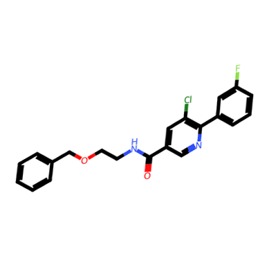 O=C(NCCOCc1ccccc1)c1cnc(-c2cccc(F)c2)c(Cl)c1